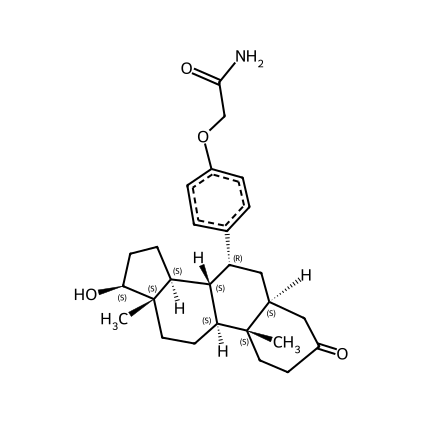 C[C@]12CCC(=O)C[C@@H]1C[C@@H](c1ccc(OCC(N)=O)cc1)[C@@H]1[C@@H]2CC[C@]2(C)[C@@H](O)CC[C@@H]12